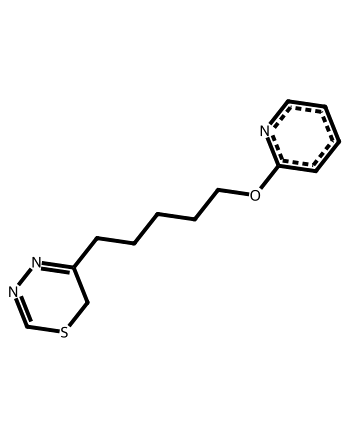 C1=NN=C(CCCCCOc2ccccn2)CS1